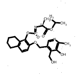 Cc1ncc(COc2ccc3c(c2O[P+]([O-])=N[C@@H](C)C(=O)OC(C)C)CCCC3)c(CO)c1O